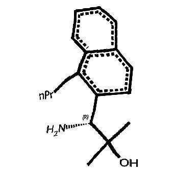 CCCc1c([C@@H](N)C(C)(C)O)ccc2ccccc12